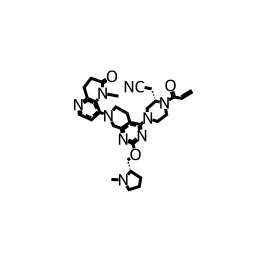 C=CC(=O)N1CCN(c2nc(OC[C@@H]3CCCN3C)nc3c2CCN(c2ccnc4c2N(C)C(=O)CC4)C3)C[C@@H]1CC#N